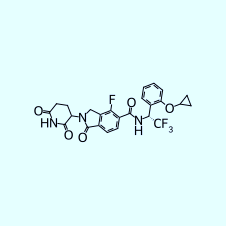 O=C1CCC(N2Cc3c(ccc(C(=O)N[C@H](c4ccccc4OC4CC4)C(F)(F)F)c3F)C2=O)C(=O)N1